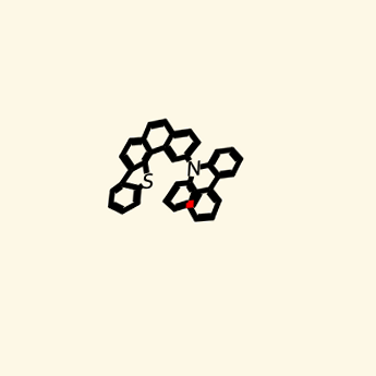 c1ccc(-c2ccccc2N(c2ccccc2)c2ccc3ccc4ccc5c6ccccc6sc5c4c3c2)cc1